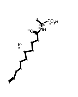 C=CCCCCCCCCC(=O)N[C@@H](C)C(=O)O.[K]